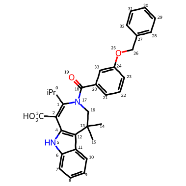 CC(C)C1=C(C(=O)O)c2[nH]c3ccccc3c2C(C)(C)CN1C(=O)c1cccc(OCc2ccccc2)c1